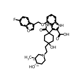 C[C@H]1CN(CCC2(O)CCC(C(N)=O)(c3c(C(=O)O)[nH]c4cccc(OCc5coc6cc(F)ccc56)c34)CC2)CC[C@@H]1O